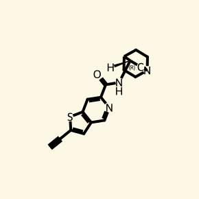 C#Cc1cc2cnc(C(=O)N[C@H]3CN4CCC3CC4)cc2s1